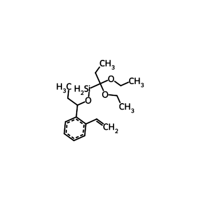 C=Cc1ccccc1C(CC)O[SiH2]C(CC)(OCC)OCC